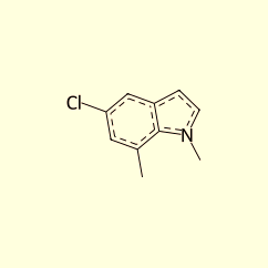 Cc1cc(Cl)cc2ccn(C)c12